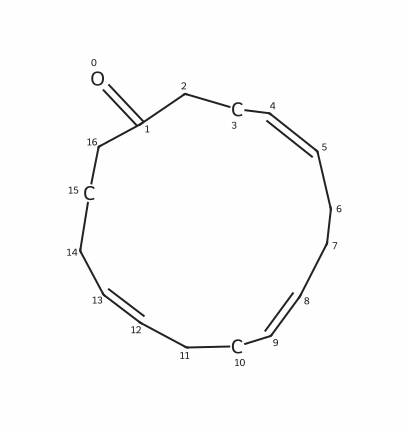 O=C1CCC=CCCC=CCCC=CCCC1